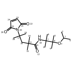 CC(C)OC(C)(C)C(C)(C)NC(=O)C(C)(C)CC(C)(C)N1C(=O)C=CC1=O